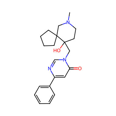 CN1CCC(O)(Cn2cnc(-c3ccccc3)cc2=O)C2(CCCC2)C1